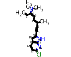 C=C/C(=C\C=C(/C)C#Cc1cc2ccc(Cl)nc2[nH]1)N(C)C